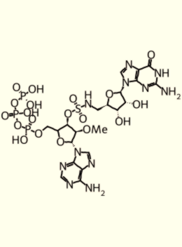 CO[C@@H]1[C@H](OS(=O)(=O)NC[C@H]2O[C@@H](n3cnc4c(=O)[nH]c(N)nc43)[C@H](O)[C@@H]2O)C(COP(=O)(O)OP(=O)(O)OP(=O)(O)O)O[C@H]1n1cnc2c(N)ncnc21